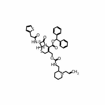 C=CCN1CCCCC1CNC(=O)OCC1=C(C(=O)OC(c2ccccc2)c2ccccc2)N2C(=O)[C@@H](NC(=O)Cc3cccs3)[C@H]2SC1